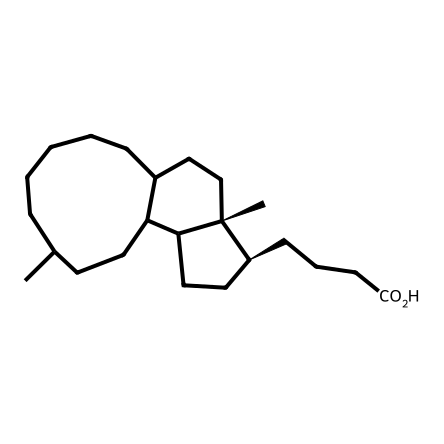 CC1CCCCCC2CC[C@@]3(C)C(CC[C@@H]3CCCC(=O)O)C2CC1